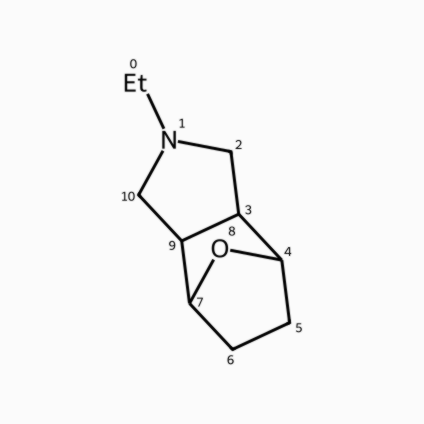 CCN1CC2C3CCC(O3)C2C1